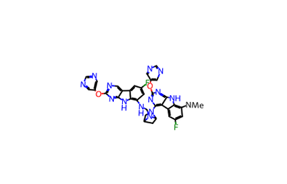 CNc1cc(F)cc2c1[nH]c1nc(Oc3cncnc3)nc(N3CC4CC3N4CNc3cc(F)cc4c3[nH]c3nc(Oc5cncnc5)ncc34)c12